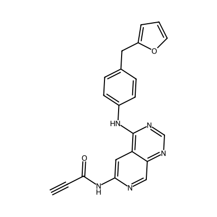 C#CC(=O)Nc1cc2c(Nc3ccc(Cc4ccco4)cc3)ncnc2cn1